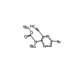 C#Cc1nc(Br)cnc1N(C(=O)OC(C)(C)C)C(C)(C)C